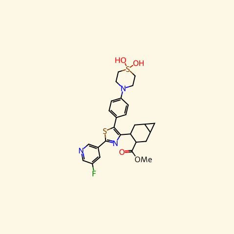 COC(=O)C1CC2CC2CC1c1nc(-c2cncc(F)c2)sc1-c1ccc(N2CCS(O)(O)CC2)cc1